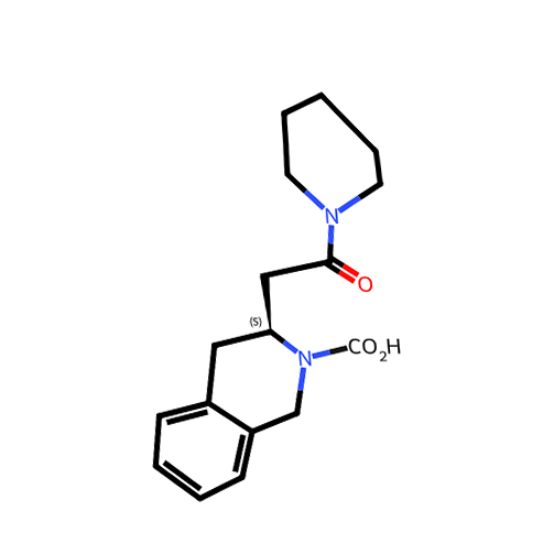 O=C(C[C@@H]1Cc2ccccc2CN1C(=O)O)N1CCCCC1